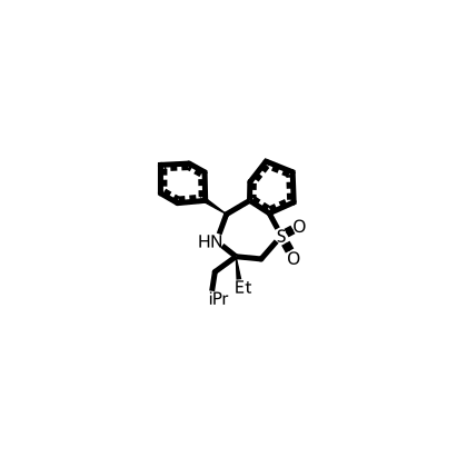 CC[C@]1(CC(C)C)CS(=O)(=O)c2ccccc2[C@H](c2ccccc2)N1